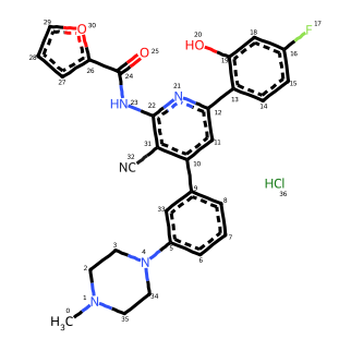 CN1CCN(c2cccc(-c3cc(-c4ccc(F)cc4O)nc(NC(=O)c4ccco4)c3C#N)c2)CC1.Cl